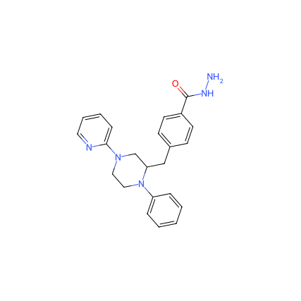 NNC(=O)c1ccc(CC2CN(c3ccccn3)CCN2c2ccccc2)cc1